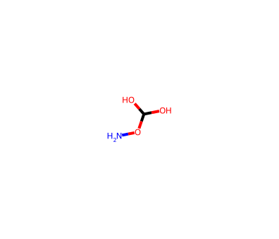 NOC(O)O